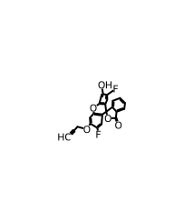 C#CCOc1cc2c(cc1F)C1(OC(=O)c3ccccc31)c1cc(F)c(O)cc1O2